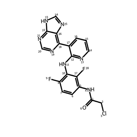 O=C(CCl)Nc1ccc(F)c(Nc2ncccc2-c2ncnc3[nH]cnc23)c1F